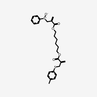 C=C(CSc1ccc(C)cc1)C(=O)OCCCCCCOC(=O)C(=C)C[S+]([O-])c1ccccc1